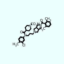 Cc1ccc(N(CCCN2CC3CN(C(=O)c4c(C)cccc4C)CC3C2)C(=O)C2CCN(C(=O)O)CC2)cc1Cl